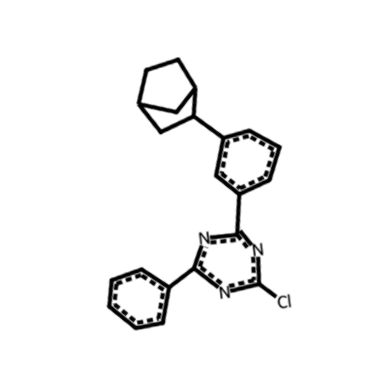 Clc1nc(-c2ccccc2)nc(-c2cccc(C3CC4CCC3C4)c2)n1